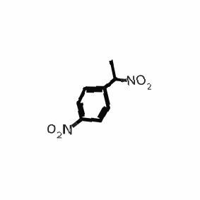 CC(c1ccc([N+](=O)[O-])cc1)[N+](=O)[O-]